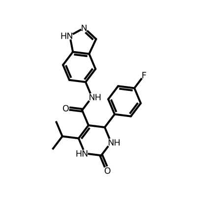 CC(C)C1=C(C(=O)Nc2ccc3[nH]ncc3c2)C(c2ccc(F)cc2)NC(=O)N1